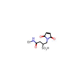 CCNC(=O)CC(CN1C(=O)C=CC1=O)S(=O)(=O)O